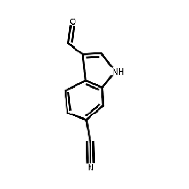 N#Cc1ccc2c(C=O)c[nH]c2c1